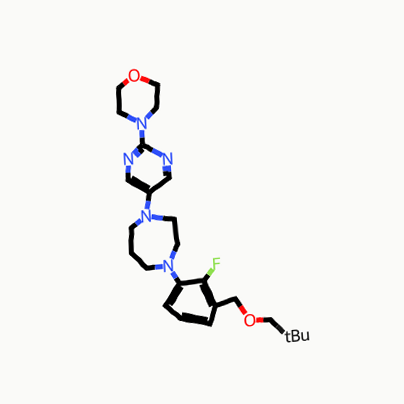 CC(C)(C)COCc1cccc(N2CCCN(c3cnc(N4CCOCC4)nc3)CC2)c1F